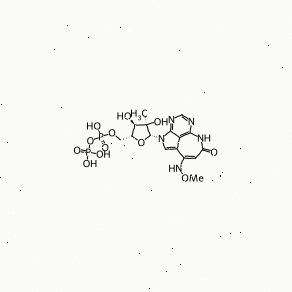 CONC1=CC(=O)Nc2ncnc3c2c1cn3[C@@H]1O[C@H](COP(=O)(O)OP(=O)(O)O)[C@@H](O)[C@@]1(C)O